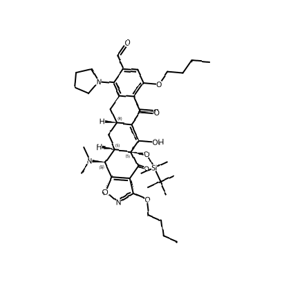 CCCCOc1cc(C=O)c(N2CCCC2)c2c1C(=O)C1=C(O)[C@]3(O[Si](C)(C)C(C)(C)C)C(=O)c4c(OCCCC)noc4[C@@H](N(C)C)[C@@H]3C[C@@H]1C2